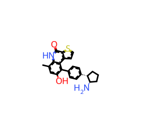 Cc1cc(O)c(-c2ccc([C@@H]3CCC[C@@H]3N)cc2)c2c1[nH]c(=O)c1sccc12